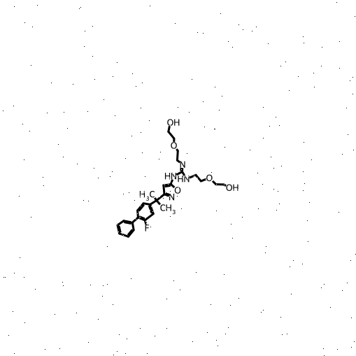 CC(C)(c1ccc(-c2ccccc2)c(F)c1)c1cc(N/C(=N\CCOCCO)NCCOCCO)on1